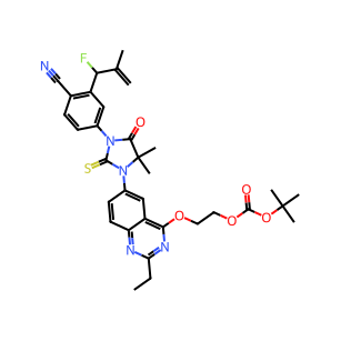 C=C(C)C(F)c1cc(N2C(=O)C(C)(C)N(c3ccc4nc(CC)nc(OCCOC(=O)OC(C)(C)C)c4c3)C2=S)ccc1C#N